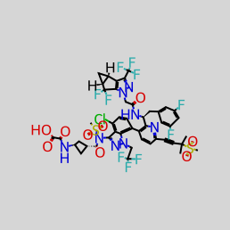 CC(C)(C#Cc1ccc(-c2ccc(Cl)c3c(N(C(=O)[C@H]4C[C@H](NC(=O)C(=O)O)C4)S(C)(=O)=O)nn(CC(F)(F)F)c23)c([C@H](Cc2cc(F)cc(F)c2)NC(=O)Cn2nc(C(F)(F)F)c3c2C(F)(F)[C@@H]2C[C@H]32)n1)S(C)(=O)=O